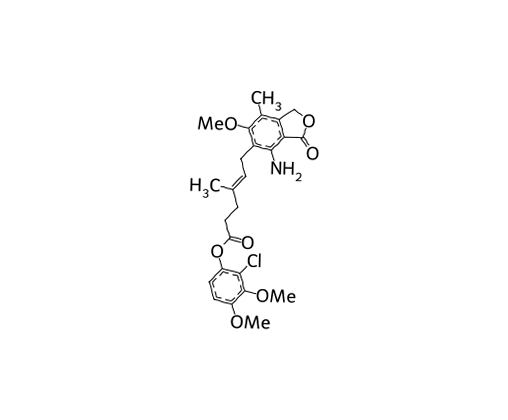 COc1ccc(OC(=O)CC/C(C)=C/Cc2c(N)c3c(c(C)c2OC)COC3=O)c(Cl)c1OC